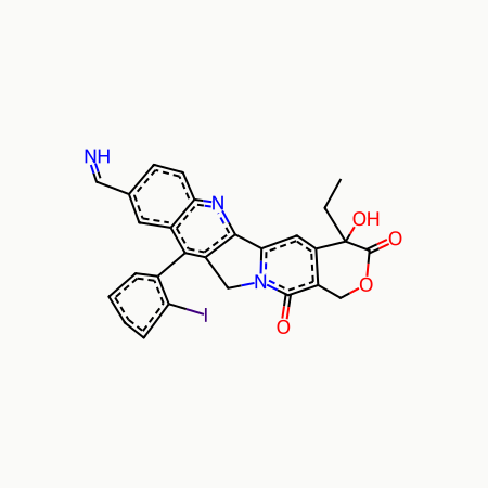 CCC1(O)C(=O)OCc2c1cc1n(c2=O)Cc2c-1nc1ccc(C=N)cc1c2-c1ccccc1I